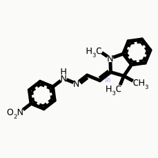 CN1/C(=C\C=NNc2ccc([N+](=O)[O-])cc2)C(C)(C)c2ccccc21